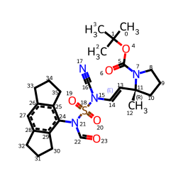 CC(C)(C)OC(=O)N1CCC[C@]1(C)/C=C/N(C#N)S(=O)(=O)N(C=O)c1c2c(cc3c1CCC3)CCC2